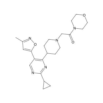 Cc1cc(-c2cnc(C3CC3)nc2C2CCN(CC(=O)N3CCOCC3)CC2)on1